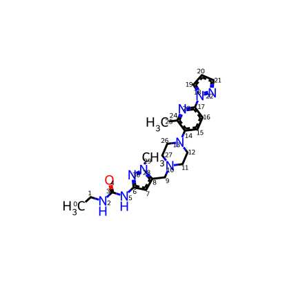 CCNC(=O)Nc1cc(CN2CCN(c3ccc(-n4cccn4)nc3C)CC2)n(C)n1